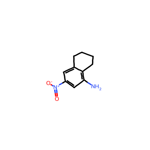 Nc1cc([N+](=O)[O-])cc2c1CCCC2